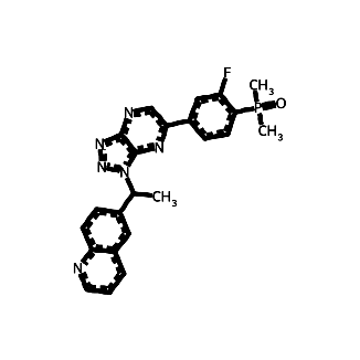 CC(c1ccc2ncccc2c1)n1nnc2ncc(-c3ccc(P(C)(C)=O)c(F)c3)nc21